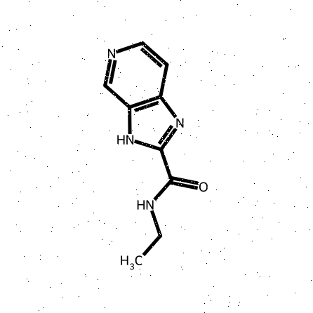 CCNC(=O)c1nc2ccncc2[nH]1